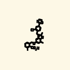 Cc1cccc(COc2cc(C)c3nc(C)n(Cc4ccc(-c5ncco5)cc4Cl)c3c2)c1C(=O)O